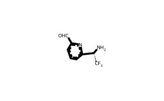 N[C@@H](c1cccc(C=O)n1)C(F)(F)F